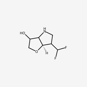 OC1CO[C@@H]2C(C(F)F)CNC12